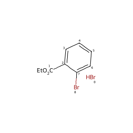 Br.CCOC(=O)c1ccccc1Br